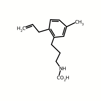 C=CCc1ccc(C)cc1CCCNC(=O)O